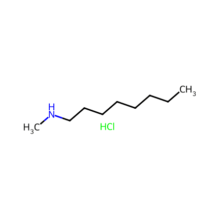 CCCCCCCCNC.Cl